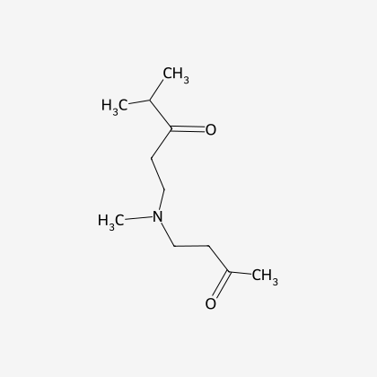 CC(=O)CCN(C)CCC(=O)C(C)C